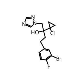 OC(CCc1ccc(F)c(Br)c1)(Cn1cncn1)C1(Cl)CC1